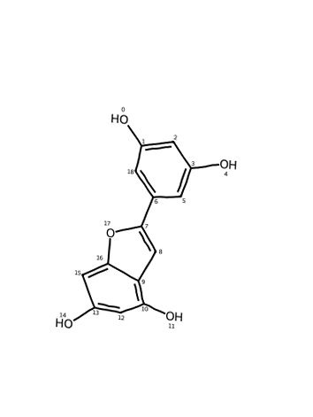 Oc1cc(O)cc(-c2cc3c(O)cc(O)cc3o2)c1